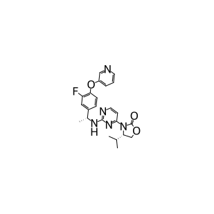 CC(C)[C@H]1COC(=O)N1c1ccnc(N[C@H](C)c2ccc(Oc3cccnc3)c(F)c2)n1